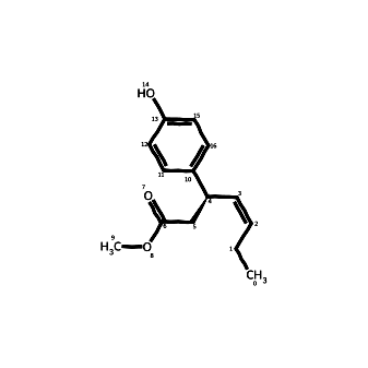 CC/C=C\[C@@H](CC(=O)OC)c1ccc(O)cc1